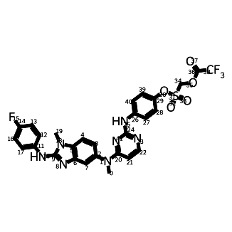 CN(c1ccc2c(c1)nc(Nc1ccc(F)cc1)n2C)c1ccnc(Nc2ccc(OS(=O)(=O)COC(=O)C(F)(F)F)cc2)n1